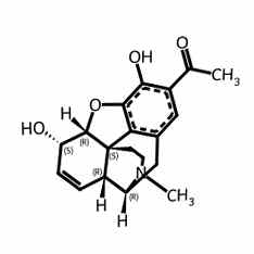 CC(=O)c1cc2c3c(c1O)O[C@H]1[C@@H](O)C=C[C@H]4[C@@H](C2)N(C)CC[C@@]341